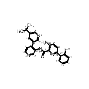 CC(O)c1cncc(-c2ccncc2NC(=O)c2nc(-c3ccccc3F)ccc2N)c1